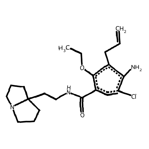 C=CCc1c(N)c(Cl)cc(C(=O)NCCC23CCCN2CCC3)c1OCC